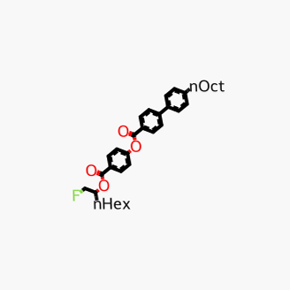 CCCCCCCCc1ccc(-c2ccc(C(=O)Oc3ccc(C(=O)OC(CF)CCCCCC)cc3)cc2)cc1